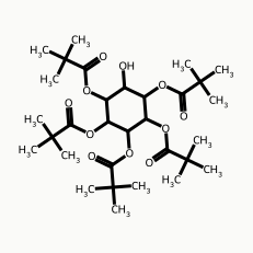 CC(C)(C)C(=O)OC1C(O)C(OC(=O)C(C)(C)C)C(OC(=O)C(C)(C)C)C(OC(=O)C(C)(C)C)C1OC(=O)C(C)(C)C